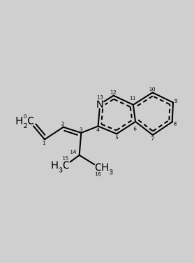 C=C/C=C(/c1cc2ccccc2cn1)C(C)C